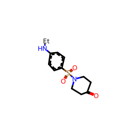 CCNc1ccc(S(=O)(=O)N2CCC(=O)CC2)cc1